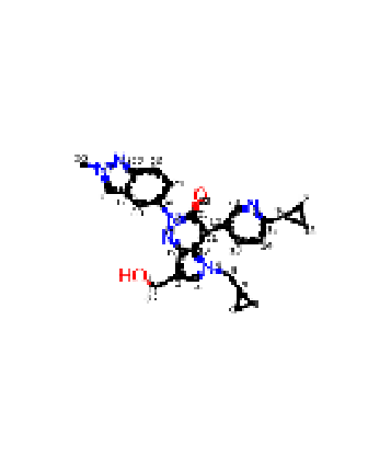 C[C@H](O)c1cn(CC2CC2)c2c(-c3ccc(C4CC4)nc3)c(=O)n(-c3ccc4nn(C)cc4c3)nc12